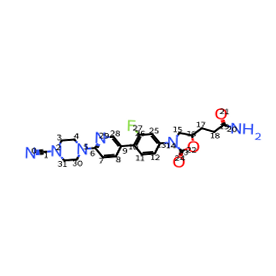 N#CN1CCN(c2ccc(-c3ccc(N4CC(CCC(N)=O)OC4=O)cc3F)cn2)CC1